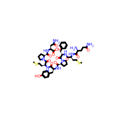 CSCC[C@H](NC(=O)[C@@H](N)CCC(N)=O)C(=O)N[C@@H](Cc1ccccc1)C(=O)N1CCC[C@H]1C(=O)N[C@@H](Cc1ccc(O)cc1)C(=O)N[C@@H](CCSC)C(=O)N1CCC[C@H]1C(=O)N[C@@H](CC(N)=O)C(=O)O